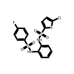 O=S(=O)(Nc1ccccc1NS(=O)(=O)c1ccc(Cl)s1)c1ccc(F)cc1